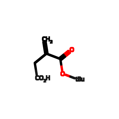 C=C(CC(=O)O)C(=O)OC(C)(C)C